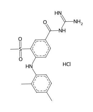 Cc1ccc(Nc2ccc(C(=O)NC(=N)N)cc2S(C)(=O)=O)c(C)c1.Cl